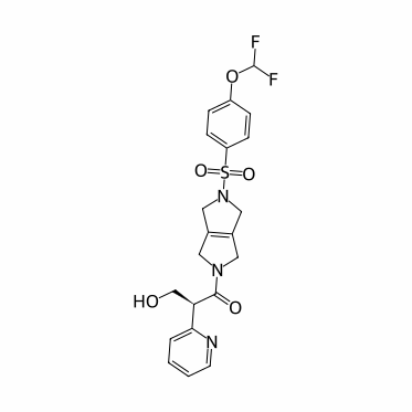 O=C([C@H](CO)c1ccccn1)N1CC2=C(C1)CN(S(=O)(=O)c1ccc(OC(F)F)cc1)C2